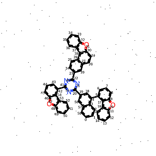 c1ccc2c(-c3cccc4oc5ccccc5c34)cc(-c3nc(-c4ccc5c(ccc6oc7ccccc7c65)c4)nc(-c4cccc5oc6ccccc6c45)n3)cc2c1